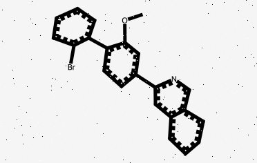 COc1cc(-c2cc3ccccc3cn2)ccc1-c1ccccc1Br